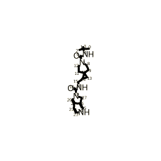 CC(C)(C)NC(=O)N1CCC2(CC1)CC2CNC(=O)N1C=C2C=CNC=C2C1